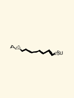 CCCCC=CCCCCCOC(C)=O